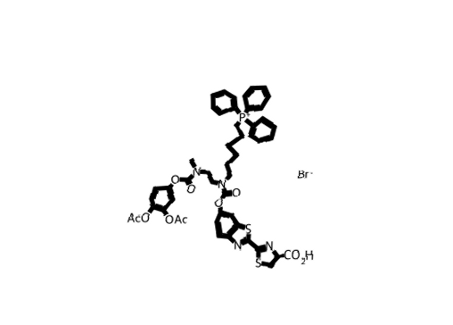 CC(=O)Oc1ccc(OC(=O)N(C)CCN(CCCCCC[P+](c2ccccc2)(c2ccccc2)c2ccccc2)C(=O)Oc2ccc3nc(C4=N[C@@H](C(=O)O)CS4)sc3c2)cc1OC(C)=O.[Br-]